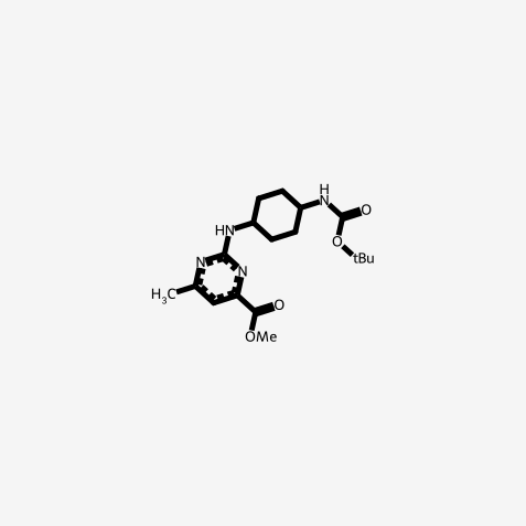 COC(=O)c1cc(C)nc(NC2CCC(NC(=O)OC(C)(C)C)CC2)n1